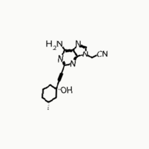 C[C@@H]1CCC[C@@](O)(C#Cc2nc(N)c3ncn(CC#N)c3n2)C1